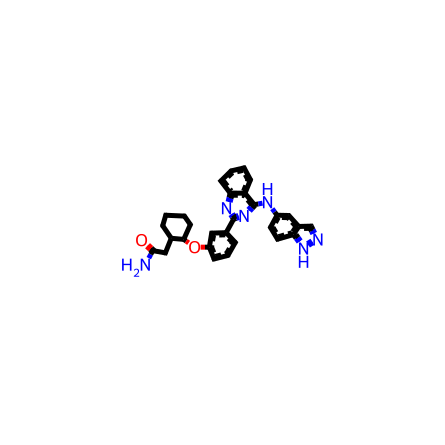 NC(=O)CC1CCCCC1Oc1cccc(-c2nc(Nc3ccc4[nH]ncc4c3)c3ccccc3n2)c1